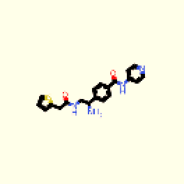 NC(CNC(=O)Cc1cccs1)c1ccc(C(=O)Nc2ccncc2)cc1